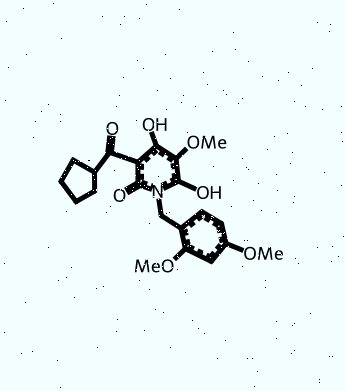 COc1ccc(Cn2c(O)c(OC)c(O)c(C(=O)C3CCCC3)c2=O)c(OC)c1